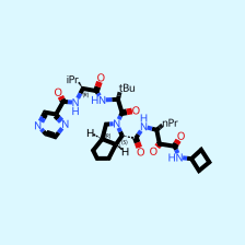 CCCC(NC(=O)[C@@H]1[C@H]2CCC[C@H]2CN1C(=O)C(NC(=O)[C@H](NC(=O)c1cnccn1)C(C)C)C(C)(C)C)C(=O)C(=O)NC1CCC1